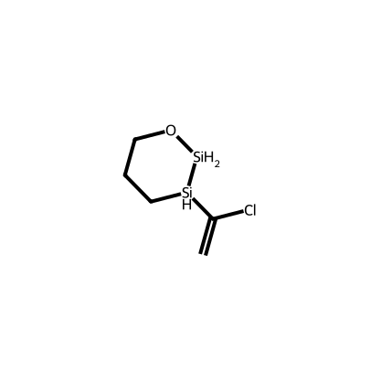 C=C(Cl)[SiH]1CCCO[SiH2]1